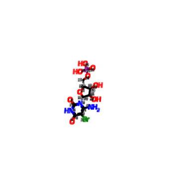 Nc1c(Br)c(=O)[nH]c(=O)n1[C@@H]1O[C@H](COP(=O)(O)O)[C@@H](O)[C@H]1O